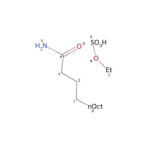 CCCCCCCCCCCC(N)=O.CCOS(=O)(=O)O